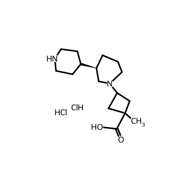 CC1(C(=O)O)CC(N2CCC[C@H](C3CCNCC3)C2)C1.Cl.Cl